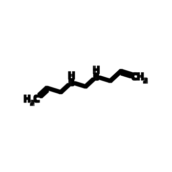 C=CCBCBCC=C